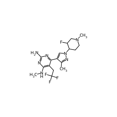 CNc1nc(N)nc(-c2cn(C3CCN(C)CC3F)nc2C)c1CC(F)(F)F